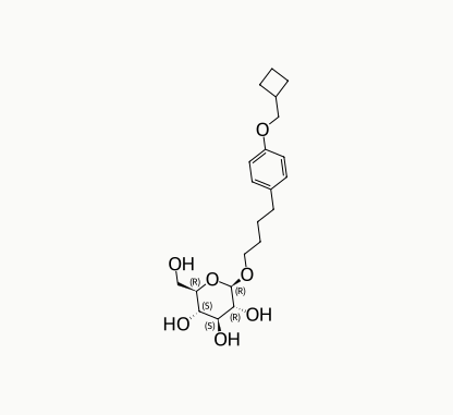 OC[C@H]1O[C@@H](OCCCCc2ccc(OCC3CCC3)cc2)[C@H](O)[C@@H](O)[C@@H]1O